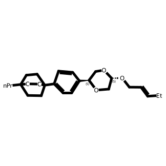 CCC=CCO[C@@H]1CO[C@@H](c2ccc(C34CCC(CCC)(CC3)CC4)cc2)CO1